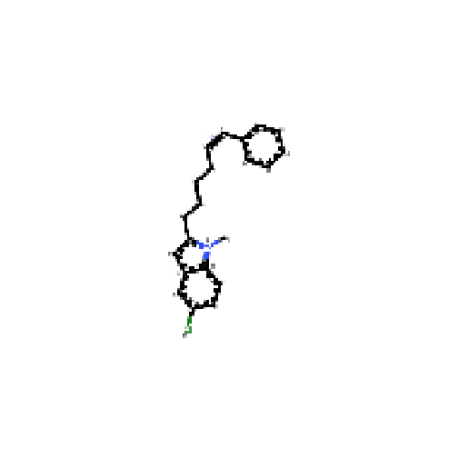 Cn1c(CCCC/C=C\c2ccccc2)cc2cc(Cl)ccc21